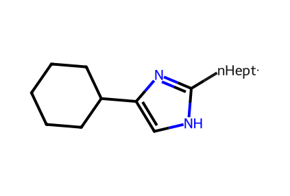 CCCCCC[CH]c1nc(C2CCCCC2)c[nH]1